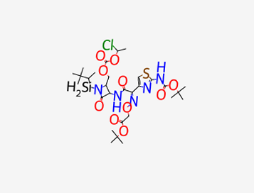 CC(Cl)OC(=O)OCC1C(NC(=O)C(=NOCC(=O)OC(C)(C)C)c2csc(NC(=O)OC(C)(C)C)n2)C(=O)N1[SiH2]C(C)C(C)(C)C